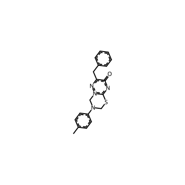 Cc1ccc(N2CSc3nc(=O)c(Cc4ccccc4)nn3C2)cc1